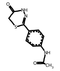 CC(=O)Nc1ccc(C2=NNC(=O)CS2)cc1